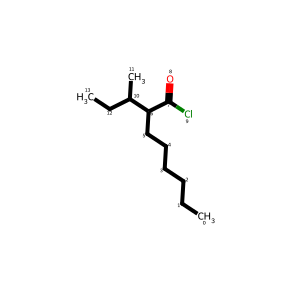 CCCCCCC(C(=O)Cl)C(C)CC